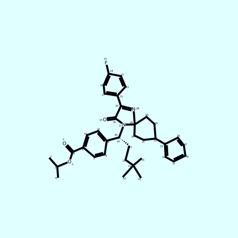 CC(C)OC(=O)c1ccc([C@@H](CCC(C)(C)C)N2C(=O)C(c3ccc(F)cc3)=NC23CCC(c2ccccc2)CC3)cc1